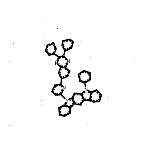 c1ccc(-c2nc3ccc(-c4cccc(-n5c6ccccc6c6cc7c8ccccc8n(-c8ccccc8)c7cc65)n4)cc3nc2-c2ccccc2)cc1